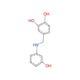 Oc1cccc(NCc2ccc(O)c(O)c2)c1